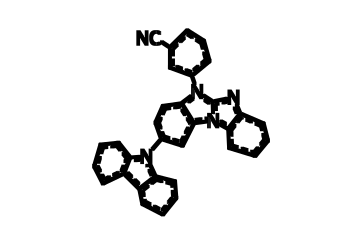 N#Cc1cccc(-n2c3ccc(-n4c5ccccc5c5ccccc54)cc3n3c4ccccc4nc23)c1